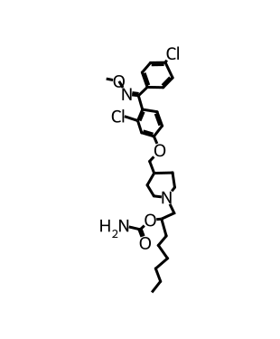 CCCCCCC(CN1CCC(COc2ccc(C(=NOC)c3ccc(Cl)cc3)c(Cl)c2)CC1)OC(N)=O